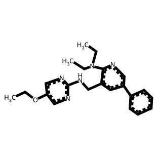 CCOc1cnc(NCc2cc(-c3ccccc3)cnc2N(CC)CC)nc1